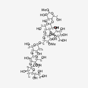 COC1OC(CO)C(OC2OC(CO)C(OC3OC(COC4OC(CO)C(OC5OC(CO)C(O)C(OC6(C(=O)O)CC(O)C(C)C(C(O)[C@@H](O)CO)O6)C5O)C(O)C4C)C(OC)C(O)C3O)C(OC3OC(CO)C(O)C(O)C3O)C2O)C(O)C1O